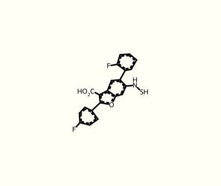 O=C(O)c1c(-c2ccc(F)cc2)oc2cc(NS)c(-c3ccccc3F)cc12